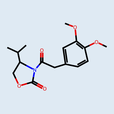 COc1ccc(CC(=O)N2C(=O)OCC2C(C)C)cc1OC